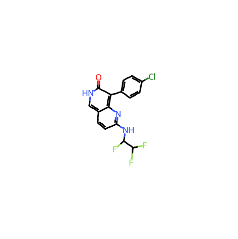 O=c1[nH]cc2ccc(NC(F)C(F)F)nc2c1-c1ccc(Cl)cc1